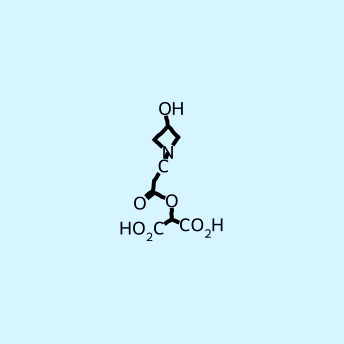 O=C(CCN1CC(O)C1)OC(C(=O)O)C(=O)O